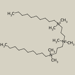 CCCCCCCCCC[N+](C)(C)CCC[N+](C)(C)CCC[N+](C)(C)CCCCCCCCCC